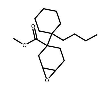 CCCCC1(C2(C(=O)OC)CCC3OC3C2)CCCCC1